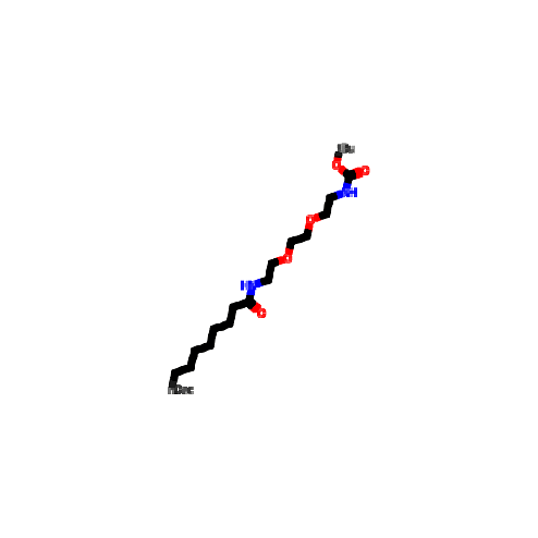 CCCCCCCCCCCCCCCCCC(=O)NCCOCCOCCNC(=O)OC(C)(C)C